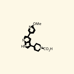 COc1ccc(-c2cnc3[nH]cc(C4=CCN(C(=O)O)CC4)c3c2)cn1